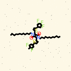 CCCCCCCCCCCCN1C(=O)C2=C(c3ccc(-c4cc(F)c(F)c(F)c4)s3)N(CCCCCCCCCCCC)C(=O)C2=C1c1ccc(-c2cc(F)c(C)c(F)c2)s1